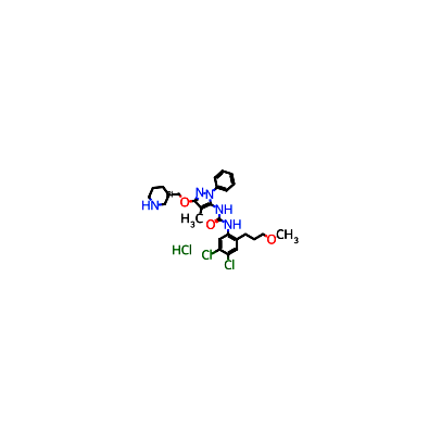 COCCCc1cc(Cl)c(Cl)cc1NC(=O)Nc1c(C)c(OC[C@@H]2CCCNC2)nn1-c1ccccc1.Cl